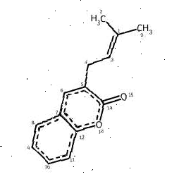 CC(C)=CCc1cc2ccccc2oc1=O